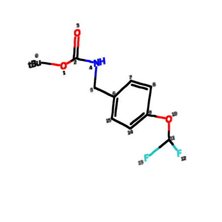 CC(C)(C)OC(=O)NCc1ccc(OC(F)F)cc1